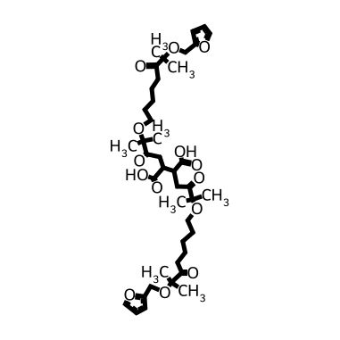 CC(C)(OCc1ccco1)C(=O)CCCCCOC(C)(C)C(=O)CC(C(=O)O)C(CC(=O)C(C)(C)OCCCCCC(=O)C(C)(C)OCc1ccco1)C(=O)O